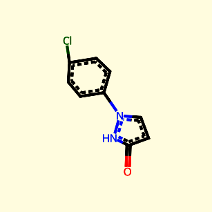 O=c1ccn(-c2ccc(Cl)cc2)[nH]1